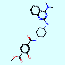 COC(=O)c1ccc(C(=O)N[C@H]2CC[C@@H](Nc3nc(N(C)C)c4ccccc4n3)CC2)cc1O